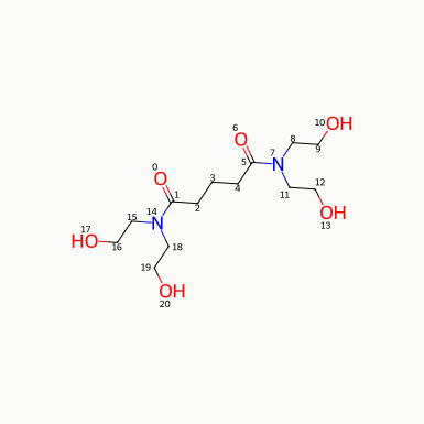 O=C(CCCC(=O)N(CCO)CCO)N(CCO)CCO